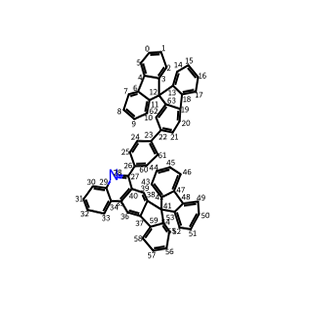 c1ccc2c(c1)-c1ccccc1C21c2ccccc2-c2ccc(-c3ccc(-c4nc5ccccc5c5cc6c(cc45)C4(c5ccccc5-c5ccccc54)c4ccccc4-6)cc3)cc21